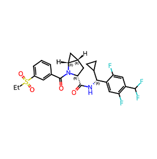 CCS(=O)(=O)c1cccc(C(=O)N2[C@@H](C(=O)N[C@@H](c3cc(F)c(C(F)F)cc3F)C3CC3)C[C@H]3C[C@H]32)c1